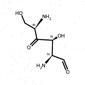 N[C@H](CO)C(=O)[C@@H](O)[C@H](N)C=O